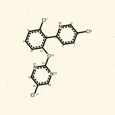 Clc1ccc(-c2c(Cl)cccc2Oc2ncc(Cl)cn2)nc1